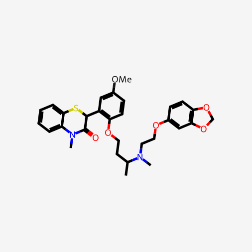 COc1ccc(OCCC(C)N(C)CCOc2ccc3c(c2)OCO3)c(C2Sc3ccccc3N(C)C2=O)c1